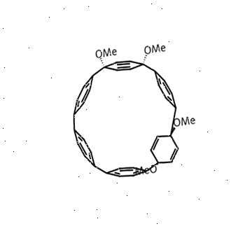 CO[C@]12C=C[C@](OC)(C=C1)c1ccc(cc1)[C@]1(OC)C=C[C@@](OC)(C=C1)c1ccc(cc1)-c1ccc(cc1)-c1ccc2cc1